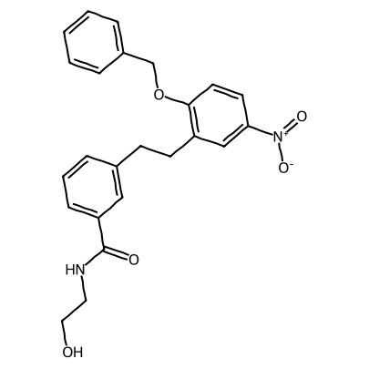 O=C(NCCO)c1cccc(CCc2cc([N+](=O)[O-])ccc2OCc2ccccc2)c1